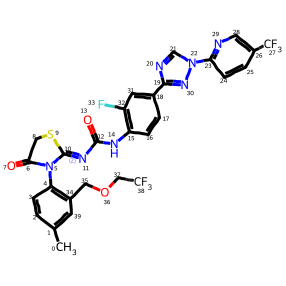 Cc1ccc(N2C(=O)CS/C2=N\C(=O)Nc2ccc(-c3ncn(-c4ccc(C(F)(F)F)cn4)n3)cc2F)c(COCC(F)(F)F)c1